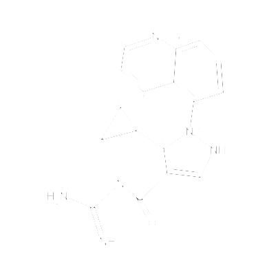 N=C(N)NC(=O)C1=CNN(c2cccc3ncccc23)C1C1CC1